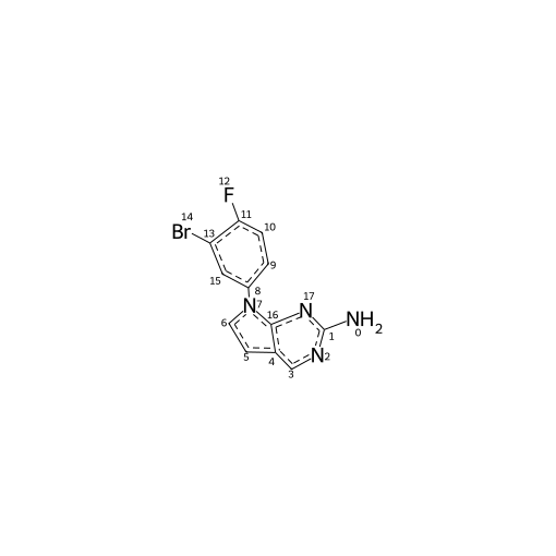 Nc1ncc2ccn(-c3ccc(F)c(Br)c3)c2n1